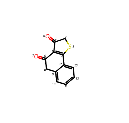 O=C1CSC2=C1C(=O)Cc1ccccc12